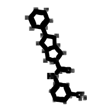 O=C(Nc1cccc(C(F)(F)F)c1)N1CC2CC(c3ccccc3)CC2C1